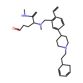 C=Cc1ccc(C2CCN(CCC3C=CC=CC3)CC2)cc1CN(C)C(CCC=O)C(=C)NC